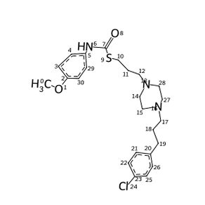 COc1ccc(NC(=O)SCCCN2CCN(CCCc3ccc(Cl)cc3)CC2)cc1